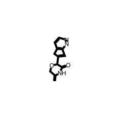 C=C1COC(C2=Cc3nnccc3C2)C(=O)N1